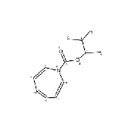 CC(C)C(C)OC(=O)N1C=CC=CC=C1